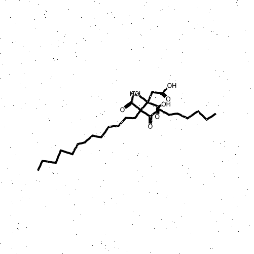 CCCCCCCCCCCCCC(C(=O)O)(C(=O)CCCCCCC)C(O)(CC(=O)O)C(=O)O